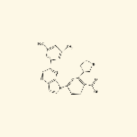 Cc1cc(C)cc(-c2cnc3ccn(-c4ccc(C(=O)O)c(C5CCNC5)c4)c3n2)c1